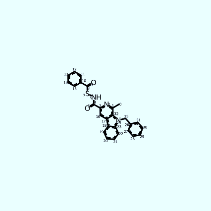 Cc1nc(C(=O)NSC(=O)c2ccccc2)cc2c3ccccc3n(Cc3ccccc3)c12